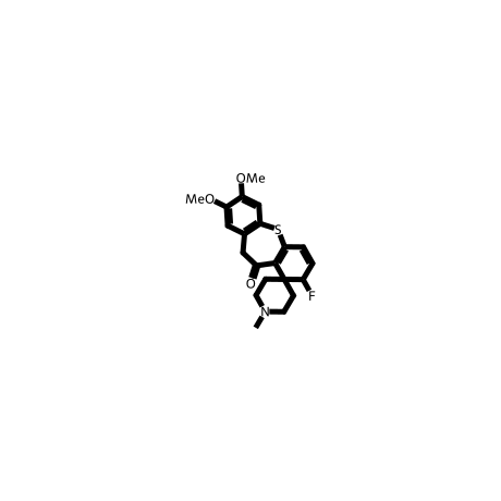 COc1cc2c(cc1OC)SC1=C(C(=O)C2)C2(CCN(C)CC2)C(F)C=C1